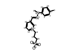 Cc1ccc(N(C)/N=C/c2ccc[n+](CCCS(=O)(=O)[O-])c2)cc1